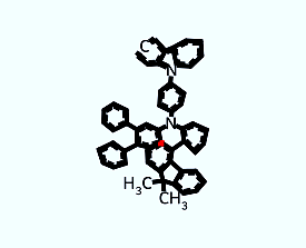 CC1(C)c2ccccc2-c2c(-c3ccccc3N(c3ccc(-n4c5ccccc5c5ccccc54)cc3)c3ccc(-c4ccccc4)c(-c4ccccc4)c3)cccc21